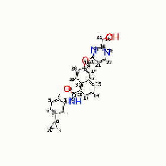 O=C(Nc1cccc(C2CC2)c1)c1cccc2cc(Oc3ccnc(CO)n3)ccc12